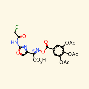 CC(=O)Oc1cc(C(=O)O/N=C(\C(=O)O)c2coc(NC(=O)CCl)n2)cc(OC(C)=O)c1OC(C)=O